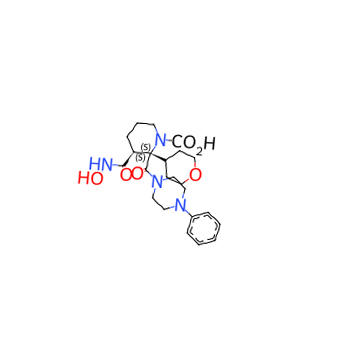 O=C(NO)[C@H]1CCCN(C(=O)O)[C@@]1(C(=O)N1CCN(c2ccccc2)CC1)C1CCOCC1